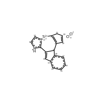 [Cl-].[Cl-].[Ti+2][C]1=C(C2C(c3[nH]ccp3)=Cc3ccccc32)C=CC1